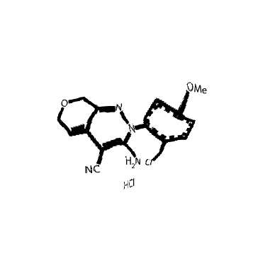 COc1ccc(Cl)c(N2N=C3COCC=C3C(C#N)=C2N)c1.Cl